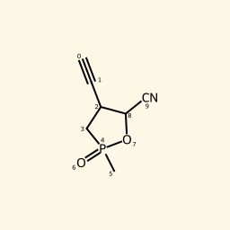 C#CC1CP(C)(=O)OC1C#N